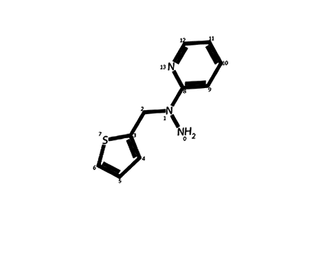 NN(Cc1cccs1)c1ccccn1